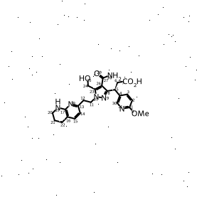 COc1ccc([C@H](CC(=O)O)c2nn(CCc3ccc4c(n3)NCCC4)c(CO)c2C(N)=O)cn1